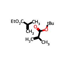 C=C(C)C(=O)OC(C)(C)C.C=C(C)C(=O)OCC